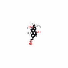 C#C[C@]1(O)C(=C)CC2C3C(CC[C@@]21C)[C@@]1(C)CC[C@H](CCOOO)C[C@H]1C[C@@H]3O